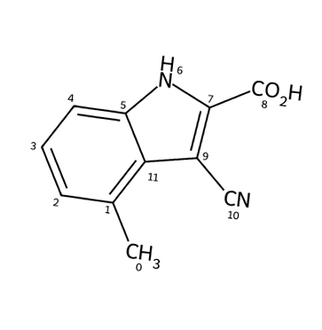 Cc1cccc2[nH]c(C(=O)O)c(C#N)c12